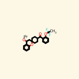 CC(C)OC1CC2(CCC(C(=O)c3ccccc3OC(C)(F)F)CC2)Oc2ccccc21